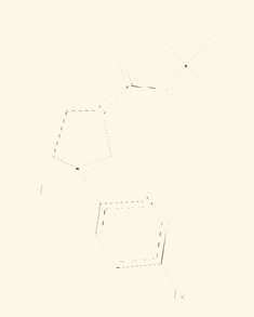 CC(C)(C)OC(=O)N1CCC(O)(c2ccc(Br)cn2)C1